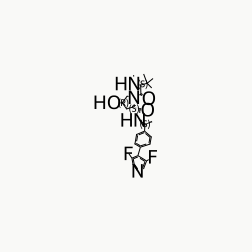 CN[C@H](C(=O)N1C[C@H](O)C[C@H]1C(=O)N[C@@H](C)c1ccc(-c2c(F)cncc2F)cc1)C(C)(C)C